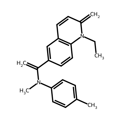 C=C(c1ccc2c(c1)C=CC(=C)N2CC)N(C)c1ccc(C)cc1